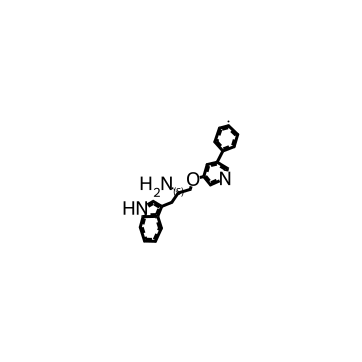 N[C@H](COc1cncc(-c2cc[c]cc2)c1)Cc1c[nH]c2ccccc12